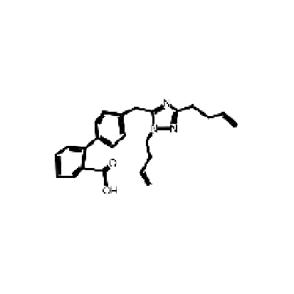 C=CCCc1nc(Cc2ccc(-c3ccccc3C(=O)O)cc2)n(CCC=C)n1